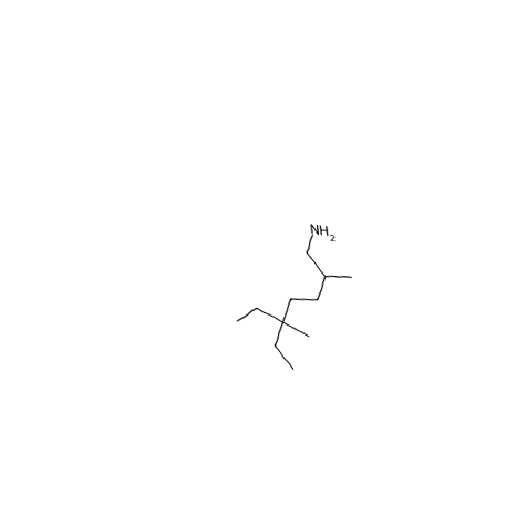 CCC(C)(CC)CCC(C)CN